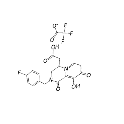 O=C(O)CC1CN(Cc2ccc(F)cc2)C(=O)C2=C(O)C(=O)CC=[N+]21.O=C([O-])C(F)(F)F